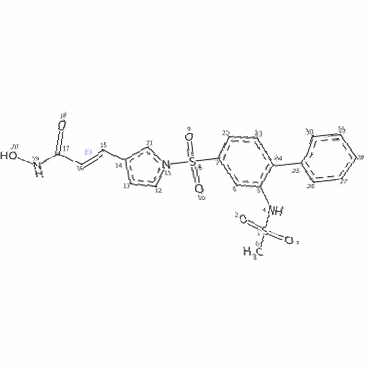 CS(=O)(=O)Nc1cc(S(=O)(=O)n2ccc(/C=C/C(=O)NO)c2)ccc1-c1ccccc1